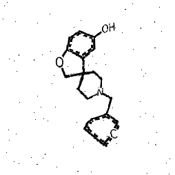 Oc1ccc2c(c1)C1(CCN(Cc3ccccc3)CC1)CO2